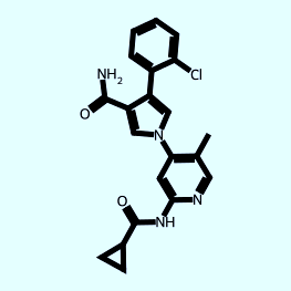 Cc1cnc(NC(=O)C2CC2)cc1-n1cc(C(N)=O)c(-c2ccccc2Cl)c1